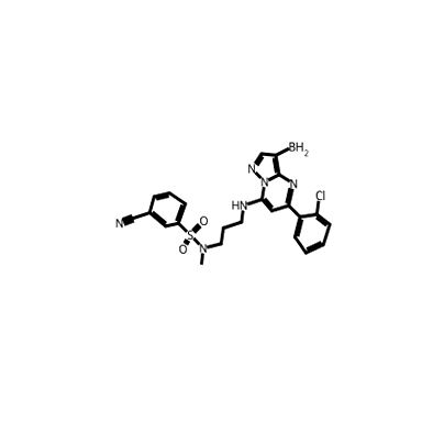 Bc1cnn2c(NCCCN(C)S(=O)(=O)c3cccc(C#N)c3)cc(-c3ccccc3Cl)nc12